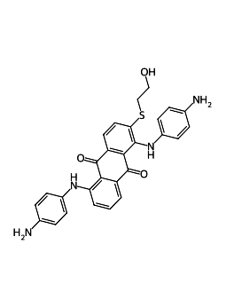 Nc1ccc(Nc2cccc3c2C(=O)c2ccc(SCCO)c(Nc4ccc(N)cc4)c2C3=O)cc1